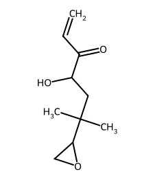 C=CC(=O)C(O)CC(C)(C)C1CO1